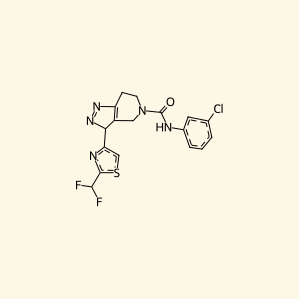 O=C(Nc1cccc(Cl)c1)N1CCC2=C(C1)C(c1csc(C(F)F)n1)N=N2